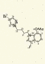 COc1cccc2c(F)cn(CCCCn3cc(Br)cn3)c12